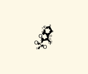 CS(=O)(=O)c1oc2sccc2c1F